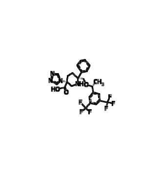 C[C@@H](OC[C@@]1(c2ccccc2)CC[C@@](C(=O)O)(n2cnnc2)CN1)c1cc(C(F)(F)F)cc(C(F)(F)F)c1